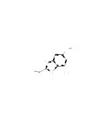 COc1ccc2[nH]c(CN)nc2c1.Cl